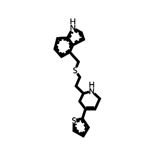 C1=C(c2cccs2)CC(CCSCc2cccc3[nH]ccc23)NC1